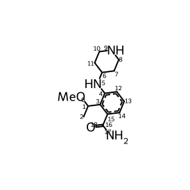 COC(C)c1c(NC2CCNCC2)cccc1C(N)=O